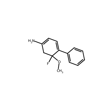 COC1(F)CC(N)=CC=C1c1ccccc1